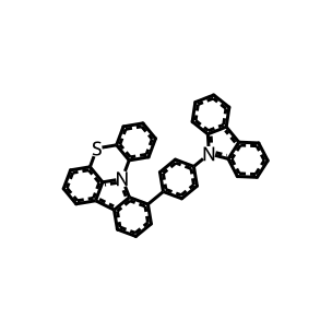 c1ccc2c(c1)Sc1cccc3c4cccc(-c5ccc(-n6c7ccccc7c7ccccc76)cc5)c4n-2c13